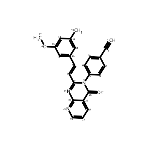 C#Cc1ccc(-n2c(/C=C/c3cc(C)cc(OC)c3)nc3ncccc3c2=O)cc1